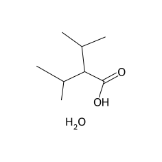 CC(C)C(C(=O)O)C(C)C.O